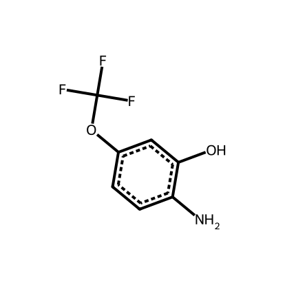 Nc1ccc(OC(F)(F)F)cc1O